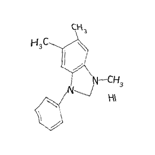 Cc1cc2c(cc1C)N(c1ccccc1)CN2C.I